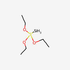 CCOS([SiH3])(OCC)OCC